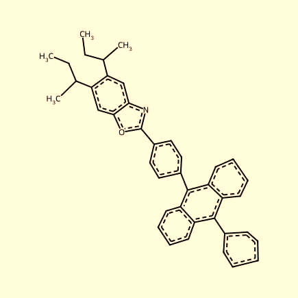 CCC(C)c1cc2nc(-c3ccc(-c4c5ccccc5c(-c5ccccc5)c5ccccc45)cc3)oc2cc1C(C)CC